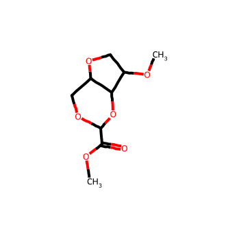 COC(=O)C1OCC2OCC(OC)C2O1